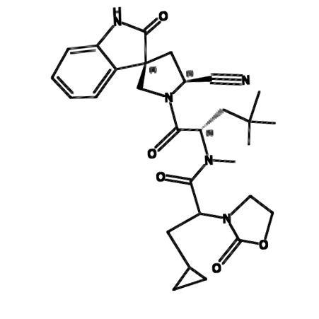 CN(C(=O)C(CC1CC1)N1CCOC1=O)[C@@H](CC(C)(C)C)C(=O)N1C[C@]2(C[C@H]1C#N)C(=O)Nc1ccccc12